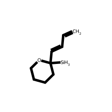 C=CC=CC1([SiH3])CCCCO1